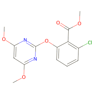 COC(=O)c1c(Cl)cccc1Oc1nc(OC)cc(OC)n1